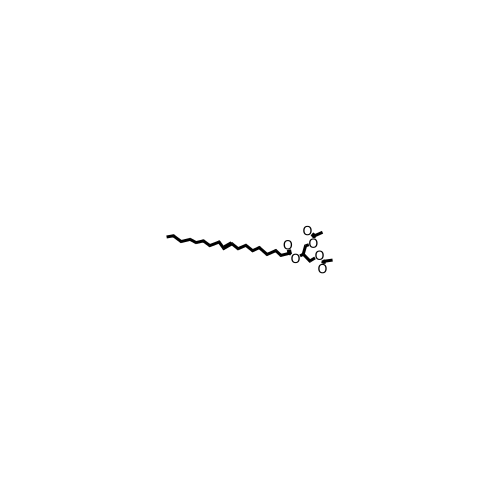 CCCCCCCCC=CCCCCCCCC(=O)OC(COC(C)=O)COC(C)=O